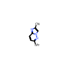 CCCc1ccc2nc(C#N)cn2n1